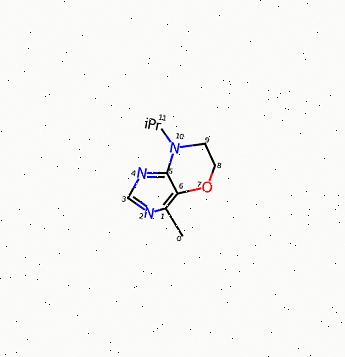 Cc1ncnc2c1OCCN2C(C)C